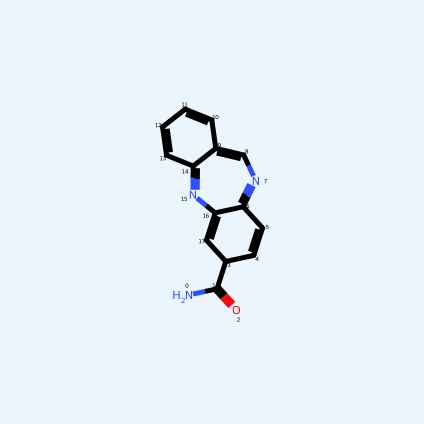 NC(=O)C1C=CC2=NC=c3ccccc3=NC2=C1